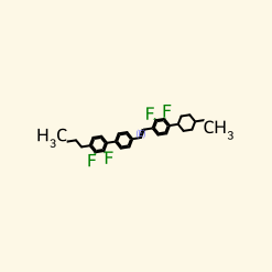 CCCCc1ccc(-c2ccc(/C=C/c3ccc(C4CCC(CC)CC4)c(F)c3F)cc2)c(F)c1F